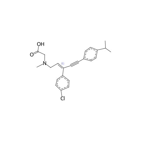 CC(C)c1ccc(C#C/C(=C/CN(C)CC(=O)O)c2ccc(Cl)cc2)cc1